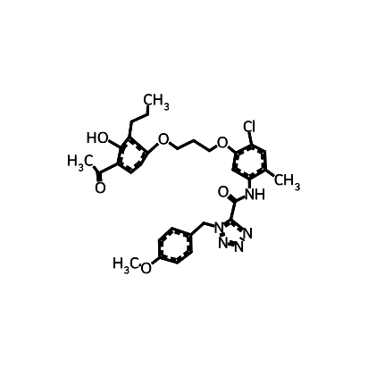 CCCc1c(OCCCOc2cc(NC(=O)c3nnnn3Cc3ccc(OC)cc3)c(C)cc2Cl)ccc(C(C)=O)c1O